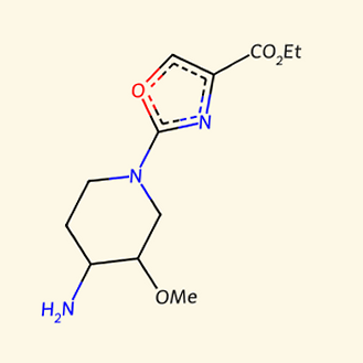 CCOC(=O)c1coc(N2CCC(N)C(OC)C2)n1